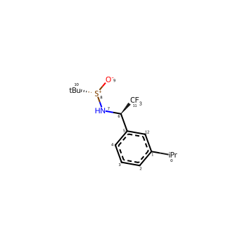 CC(C)c1cccc([C@@H](N[S@@+]([O-])C(C)(C)C)C(F)(F)F)c1